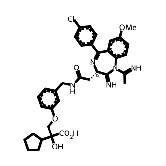 COc1ccc2c(c1)C(c1ccc(Cl)cc1)=N[C@@H](CC(=O)NCc1cccc(OCC(O)(C(=O)O)C3CCCC3)c1)C(=N)N2C(C)=N